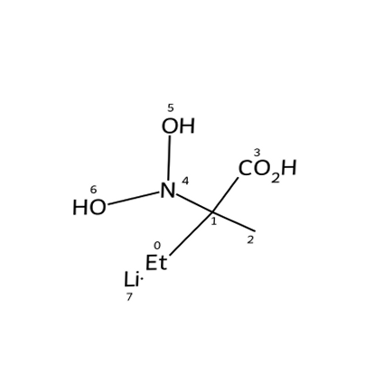 CCC(C)(C(=O)O)N(O)O.[Li]